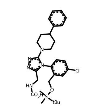 CC(C)(C)[Si](C)(C)OCc1cc(Cl)ccc1-n1c(CNC(=O)O)nnc1N1CCC(c2ccccc2)CC1